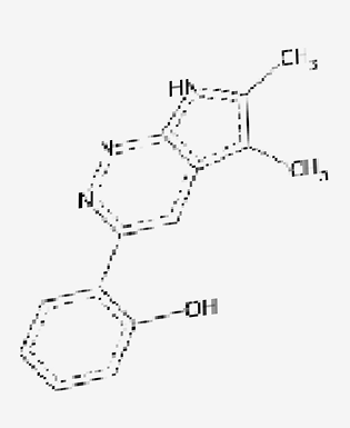 Cc1[nH]c2nnc(-c3ccccc3O)cc2c1C